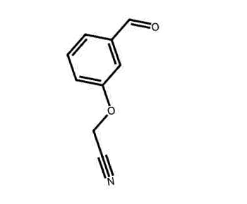 N#CCOc1cccc(C=O)c1